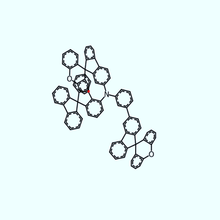 c1cc(-c2ccc3c(c2)-c2ccccc2C32c3ccccc3Oc3ccccc32)cc(N(c2ccc3c(c2)C2(c4ccccc4Oc4ccccc42)c2ccccc2-3)c2cccc3c2-c2ccccc2C32c3ccccc3-c3ccccc32)c1